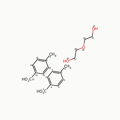 Cc1ccc(C(=O)O)cc1.Cc1ccc(C(=O)O)cc1.OCCOCCO